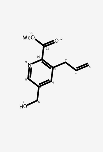 C=CCc1cc(CO)cnc1C(=O)OC